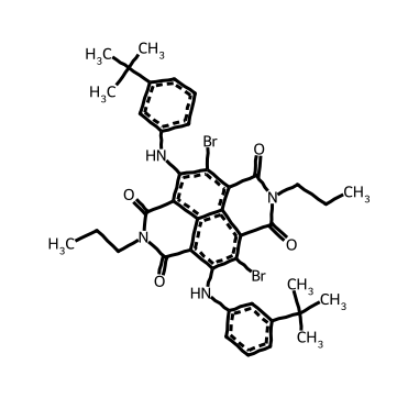 CCCN1C(=O)c2c(Br)c(Nc3cccc(C(C)(C)C)c3)c3c4c(c(Nc5cccc(C(C)(C)C)c5)c(Br)c(c24)C1=O)C(=O)N(CCC)C3=O